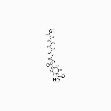 O=C(O)c1ccc(C(=O)OCCCCCCCCCO)cc1